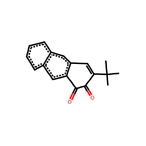 CC(C)(C)C1=Cc2cc3ccccc3cc2C(=O)C1=O